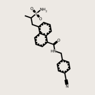 CC(Cc1cccc2c(C(=O)NCc3ccc(C#N)cc3)cccc12)S(N)(=O)=O